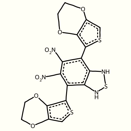 O=[N+]([O-])c1c(-c2scc3c2OCCO3)c2c(c(-c3scc4c3OCCO4)c1[N+](=O)[O-])NSN2